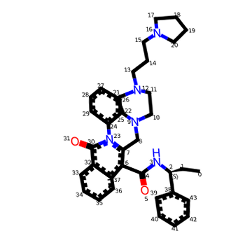 CC[C@H](NC(=O)c1c(CN2CCN(CCCN3CCCC3)CC2)n(-c2ccccc2)c(=O)c2ccccc12)c1ccccc1